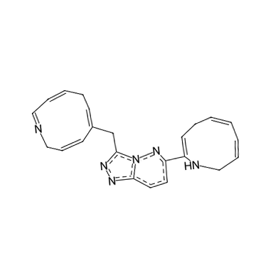 C1=C\C/C=C(Cc2nnc3ccc(/C4=C/C/C=C\C=C/CN4)nn23)\C=C/C\N=C/1